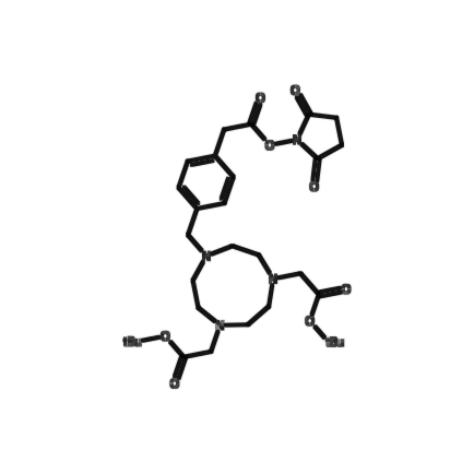 CC(C)(C)OC(=O)CN1CCN(CC(=O)OC(C)(C)C)CCN(Cc2ccc(CC(=O)ON3C(=O)CCC3=O)cc2)CC1